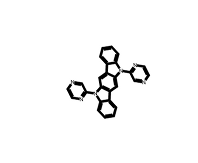 c1ccc2c(c1)c1cc3c(cc1n2-c1cnccn1)c1ccccc1n3-c1cnccn1